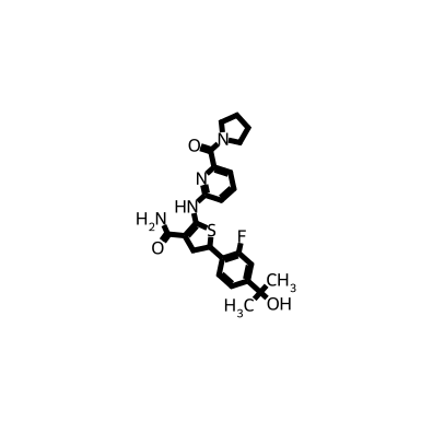 CC(C)(O)c1ccc(C2CC(C(N)=O)=C(Nc3cccc(C(=O)N4CCCC4)n3)S2)c(F)c1